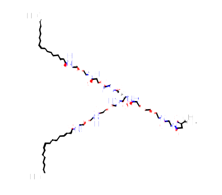 CCCCCCCC/C=C\CCCCCCCC(=O)NCCOCCNC(=O)CCOCCNC(=O)CC[C@H](NC(=O)CCOCCOCCNC(=O)CCN1C(=O)CC(C(C)C)C1=O)C(=O)NCCOCCC(=O)NCCOCCNC(=O)CCCCCCC/C=C\CCCCCCCC